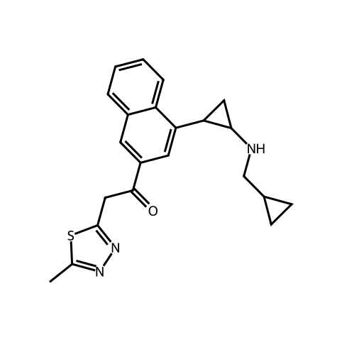 Cc1nnc(CC(=O)c2cc(C3CC3NCC3CC3)c3ccccc3c2)s1